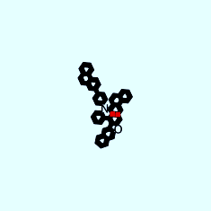 c1ccc(N(c2ccc(-c3ccc4c(ccc5ccccc54)c3)cc2)c2cccc3c2ccc2ccccc23)c(-c2cccc3oc4cc5ccccc5cc4c23)c1